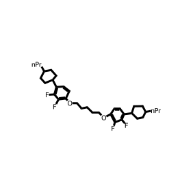 CCCC1CCC(c2ccc(OCCCCCOc3ccc(C4CCC(CCC)CC4)c(F)c3F)c(F)c2F)CC1